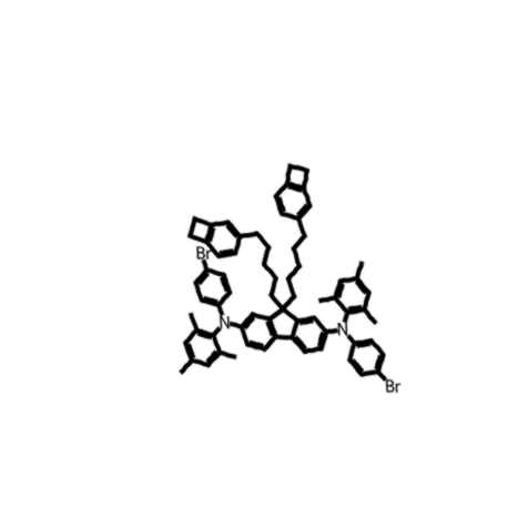 Cc1cc(C)c(N(c2ccc(Br)cc2)c2ccc3c(c2)C(CCCCCc2ccc4c(c2)CC4)(CCCCCc2ccc4c(c2)CC4)c2cc(N(c4ccc(Br)cc4)c4c(C)cc(C)cc4C)ccc2-3)c(C)c1